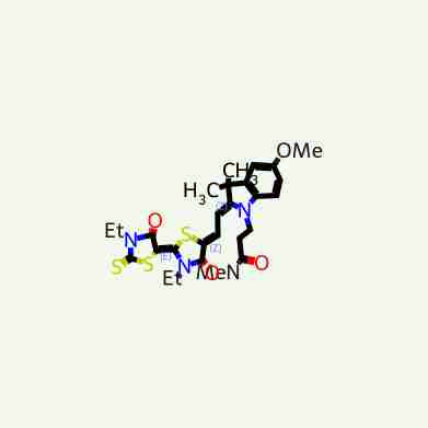 CCN1C(=O)/C(=c2\s/c(=C\C=C3/N(CCC(=O)NC)c4ccc(OC)cc4C3(C)C)c(=O)n2CC)SC1=S